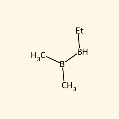 CCBB(C)C